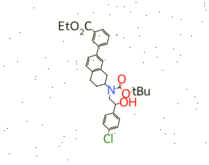 CCOC(=O)c1cccc(-c2ccc3c(c2)C[C@@H](N(C[C@@H](O)c2ccc(Cl)cc2)C(=O)OC(C)(C)C)CC3)c1